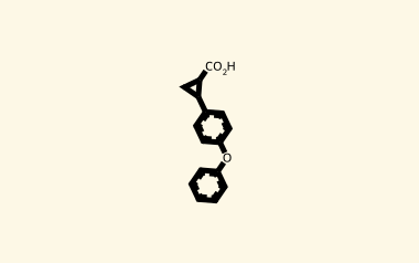 O=C(O)C1CC1c1ccc(Oc2ccccc2)cc1